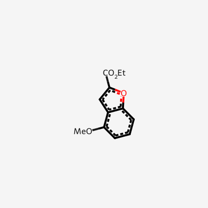 CCOC(=O)c1cc2c(OC)cccc2o1